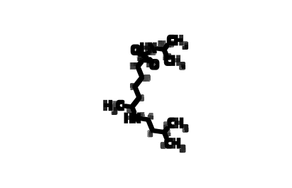 CC(C)CCNC(C)CCCCS(=O)(=O)NC(C)C